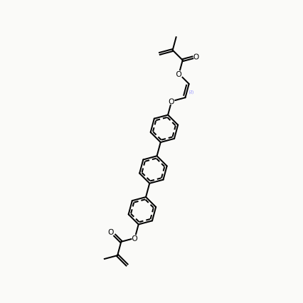 C=C(C)C(=O)O/C=C\Oc1ccc(-c2ccc(-c3ccc(OC(=O)C(=C)C)cc3)cc2)cc1